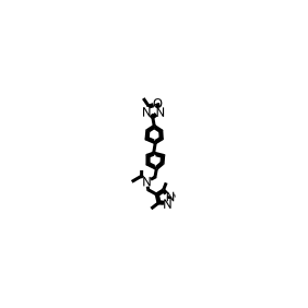 Cc1nc(-c2ccc(-c3ccc(CN(Cc4c(C)nn(C)c4C)C(C)C)cc3)cc2)no1